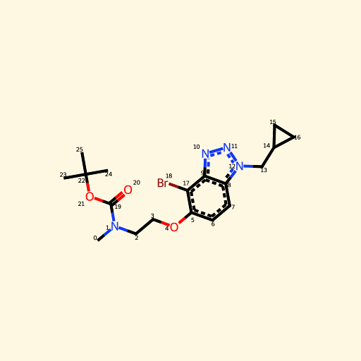 CN(CCOc1ccc2c(nnn2CC2CC2)c1Br)C(=O)OC(C)(C)C